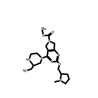 CN1CCCC1COc1nc2c(c(N3CCNC(CC#N)C3)n1)CN(C(=O)OC(C)(C)C)C2